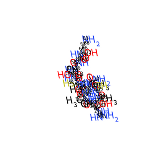 CC(C)C[C@H](NC(=O)[C@H](C)N)C(=O)N[C@@H](CS)C(=O)N[C@H](C(=O)N[C@@H](CCCNC(=N)N)C(=O)N[C@H](C(=O)N1CCC[C@H]1C(=O)N[C@@H](CS)C(=O)N[C@H](C(=O)NCC(=O)NCC(=O)N[C@@H](CCCCN)C(=O)O)[C@@H](C)O)C(C)C)[C@@H](C)O